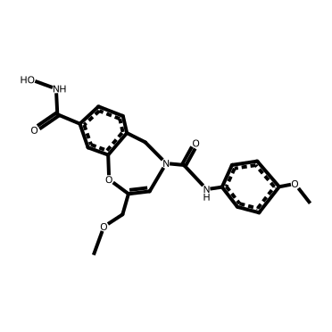 COCC1=CN(C(=O)Nc2ccc(OC)cc2)Cc2ccc(C(=O)NO)cc2O1